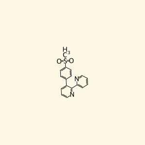 CS(=O)(=O)c1ccc(-c2cccnc2-c2ccccn2)cc1